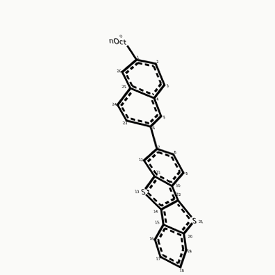 CCCCCCCCc1ccc2cc(-c3ccc4c(c3)sc3c5ccccc5sc43)ccc2c1